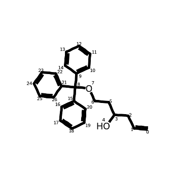 C=CCC(O)CCOC(c1ccccc1)(c1ccccc1)c1ccccc1